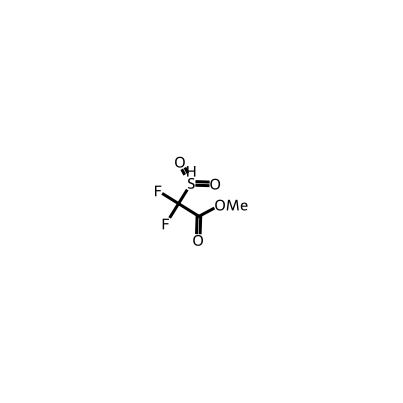 COC(=O)C(F)(F)[SH](=O)=O